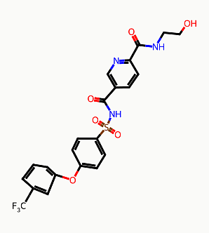 O=C(NS(=O)(=O)c1ccc(Oc2cccc(C(F)(F)F)c2)cc1)c1ccc(C(=O)NCCO)nc1